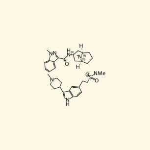 CN1[C@@H]2CCC[C@H]1C[C@@H](NC(=O)c1nn(C)c3ccccc13)C2.CNS(=O)(=O)CCc1ccc2[nH]cc(C3CCN(C)CC3)c2c1